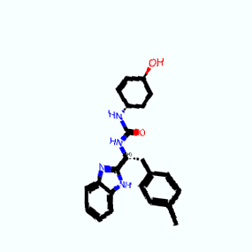 Cc1ccc(C[C@@H](NC(=O)N[C@H]2CC[C@H](O)CC2)c2nc3ccccc3[nH]2)cc1